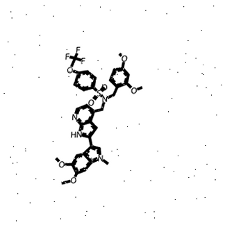 COc1ccc(CN(Cc2ccnc3[nH]c(-c4cn(C)c5cc(OC)c(OC)cc45)cc23)S(=O)(=O)c2ccc(OC(F)(F)F)cc2)c(OC)c1